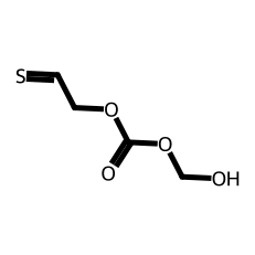 O=C(OCO)OCC=S